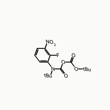 CC(C)(C)OC(=O)OC(=O)N(c1cccc([N+](=O)[O-])c1F)C(C)(C)C